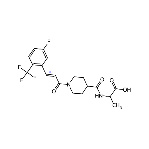 CC(NC(=O)C1CCN(C(=O)/C=C/c2cc(F)ccc2C(F)(F)F)CC1)C(=O)O